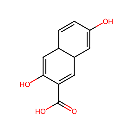 O=C(O)C1=CC2C=C(O)C=CC2C=C1O